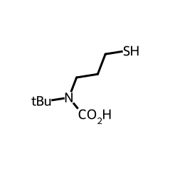 CC(C)(C)N(CCCS)C(=O)O